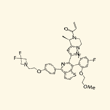 C=CC(=O)N1CCn2nc(-c3nc(-c4ccc(OCCN5CC(F)(F)C5)cc4)c4ccsc4c3-c3c(F)cc(F)cc3OCCOC)cc2[C@H]1C